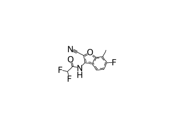 Cc1c(F)ccc2c(NC(=O)C(F)F)c(C#N)oc12